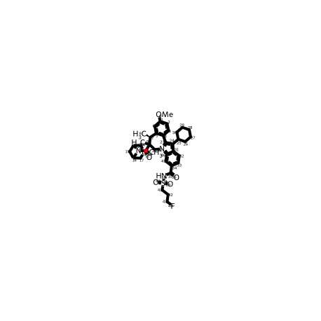 COc1ccc2c(c1)[C@H](C)C(C)(C(=O)N1C3CC1CN(C)C3)Cn1c-2c(C2CCCCC2)c2ccc(C(=O)NS(=O)(=O)CCCF)cc21